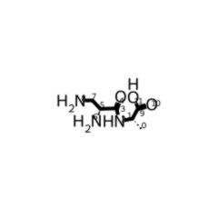 C[C@H](NC(=O)[C@H](N)CN)C(=O)O